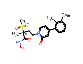 COc1cccc(-c2ccn(CC[C@](C)(C(=O)NO)S(C)(=O)=O)c(=O)c2)c1C